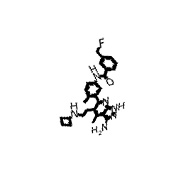 Cc1ccc(NC(=O)c2cccc(CF)c2)cc1-c1nc2[nH]nc(N)c2c(C)c1CCNC1CCC1